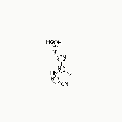 N#Cc1ccnc(Nc2cc(C3CC3)cc(-c3cncc(CN4CCS(O)(O)CC4)c3)n2)c1